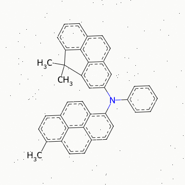 Cc1ccc2ccc3c(N(c4ccccc4)c4cc5c6c(ccc7cccc(c76)C5(C)C)c4)ccc4ccc1c2c43